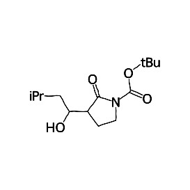 CC(C)CC(O)C1CCN(C(=O)OC(C)(C)C)C1=O